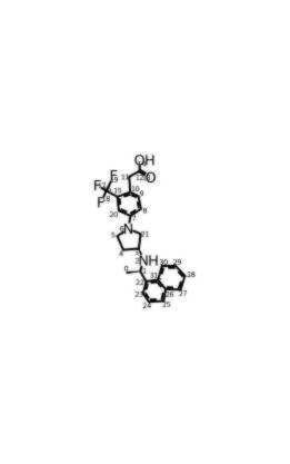 C[C@@H](N[C@H]1CCN(c2ccc(CC(=O)O)c(C(F)(F)F)c2)C1)c1cccc2ccccc12